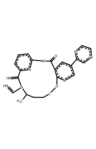 CC1CCCOc2ncc(-c3cnccn3)cc2C(=O)Nc2cccc(n2)C(=N)N1C=N